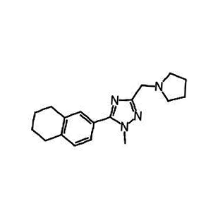 Cn1nc(CN2CCCC2)nc1-c1ccc2c(c1)CCCC2